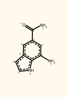 NC(=O)c1cc(N)c2[nH]ccc2c1